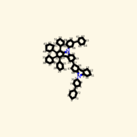 c1ccc(-c2ccc(-n3c4ccccc4c4cc(-c5ccc6c(c5)c5c(-c7ccccc7)c(-c7ccccc7)c(-c7ccccc7)c(-c7ccccc7)c5n6-c5cccc(-c6ccccc6)c5)ccc43)cc2)cc1